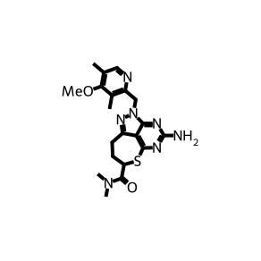 COc1c(C)cnc(Cn2nc3c4c(nc(N)nc42)SC(C(=O)N(C)C)CC3)c1C